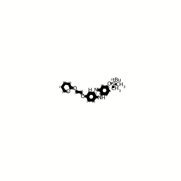 CC(C)(C)[Si](C)(C)Oc1ccc(Nc2ccc(OCCOC3CCCCO3)cc2)c(N)c1